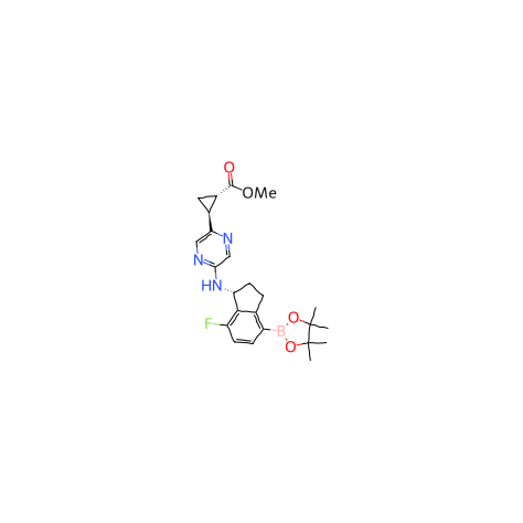 COC(=O)[C@H]1C[C@@H]1c1cnc(N[C@@H]2CCc3c(B4OC(C)(C)C(C)(C)O4)ccc(F)c32)cn1